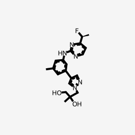 Cc1cc(Nc2nccc([C@H](C)F)n2)cc(-c2cnn(CC(C)(O)CO)c2)c1